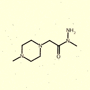 CN1CCN(CC(=O)N(C)N)CC1